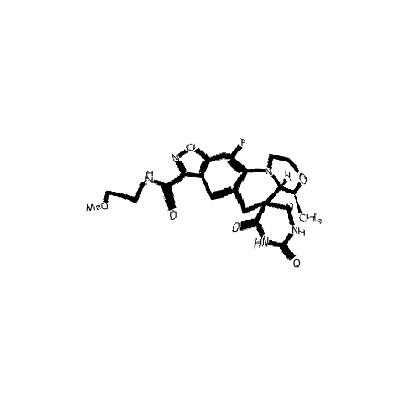 COCCNC(=O)c1noc2c(F)c3c(cc12)CC1(C(=O)NC(=O)NC1=O)[C@H]1[C@H](C)OCCN31